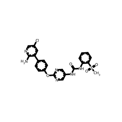 CS(=O)(=O)c1ccccc1NC(=O)Nc1cnc(Oc2ccc(-c3cc(Cl)cnc3N)cc2)nc1